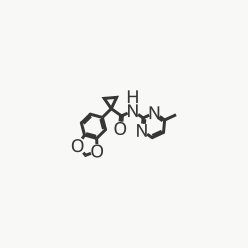 Cc1ccnc(NC(=O)C2(c3ccc4c(c3)OCO4)CC2)n1